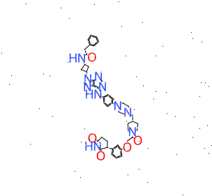 O=C1CC[C@@H](c2cccc(OCC(=O)N3CCC(CN4CCN(c5ccc(Nc6ncnc7c6ncn7C6CC(NC(=O)Cc7ccccc7)C6)cc5)CC4)CC3)c2)C(=O)N1